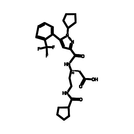 O=C(O)C[C@H](CCNC(=O)C1CCCC1)NC(=O)c1cc(-c2ccccc2C(F)(F)F)n(C2CCCC2)n1